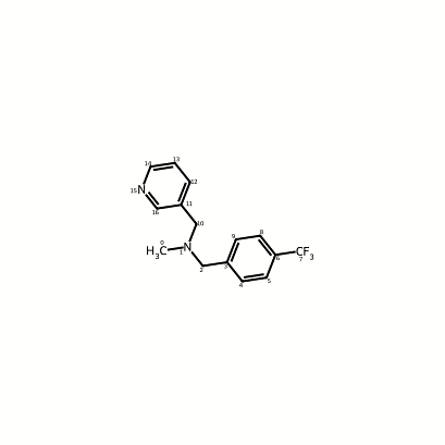 CN(Cc1ccc(C(F)(F)F)cc1)Cc1cccnc1